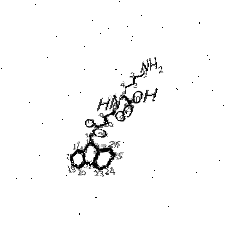 NCCCC[C@H](NC(=O)C=CC(=O)OCC1c2ccccc2-c2ccccc21)C(=O)O